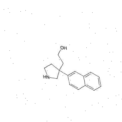 OCCC1(c2ccc3ccccc3c2)CCNC1